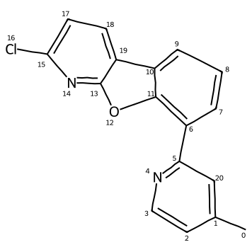 Cc1ccnc(-c2cccc3c2oc2nc(Cl)ccc23)c1